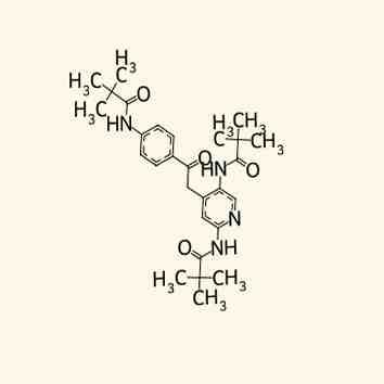 CC(C)(C)C(=O)Nc1ccc(C(=O)Cc2cc(NC(=O)C(C)(C)C)ncc2NC(=O)C(C)(C)C)cc1